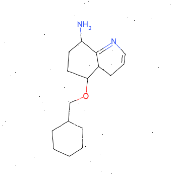 NC1CCC(OCC2CCCCC2)C2CC=CN=C12